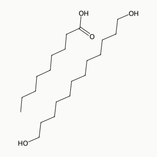 CCCCCCCCC(=O)O.OCCCCCCCCCCCCO